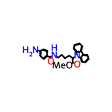 COC(=O)C(CCCCNC(=O)c1ccc(N)cc1)n1c2ccccc2c2ccccc21